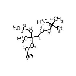 CCCOOC(C)(COOC(C)(C)CC)OC(=O)O